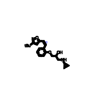 CC(C)(C)c1cc(/C=C\c2ccccc2OCC(O)CNC2CC2)on1